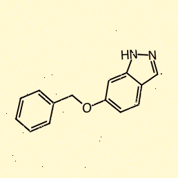 [c]1n[nH]c2cc(OCc3ccccc3)ccc12